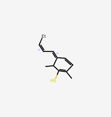 CC/C=C\C=C1\C=CC(C)=C(S)C1C